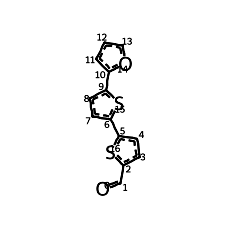 O=Cc1ccc(-c2ccc(-c3ccco3)s2)s1